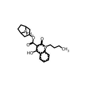 CCCCn1c(=O)c(C(=O)OC2CC3CCC(C2)N3C)c(O)c2ccccc21